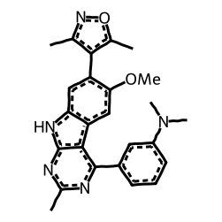 COc1cc2c(cc1-c1c(C)noc1C)[nH]c1nc(C)nc(-c3cccc(N(C)C)c3)c12